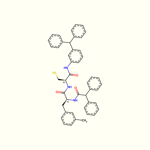 Cc1cccc(C[C@H](NC(=O)C(c2ccccc2)c2ccccc2)C(=O)N[C@@H](CS)C(=O)Nc2cccc(C(c3ccccc3)c3ccccc3)c2)c1